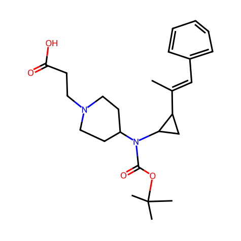 C/C(=C\c1ccccc1)C1CC1N(C(=O)OC(C)(C)C)C1CCN(CCC(=O)O)CC1